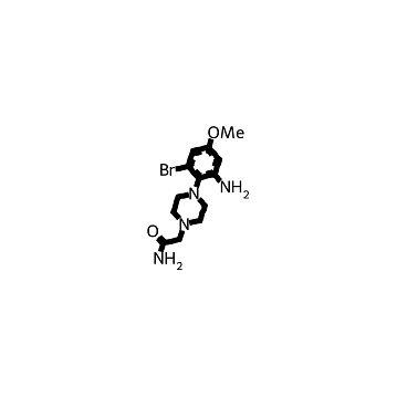 COc1cc(N)c(N2CCN(CC(N)=O)CC2)c(Br)c1